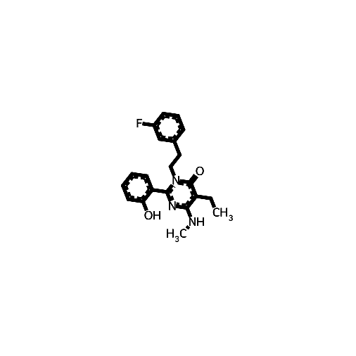 CCc1c(NC)nc(-c2ccccc2O)n(CCc2cccc(F)c2)c1=O